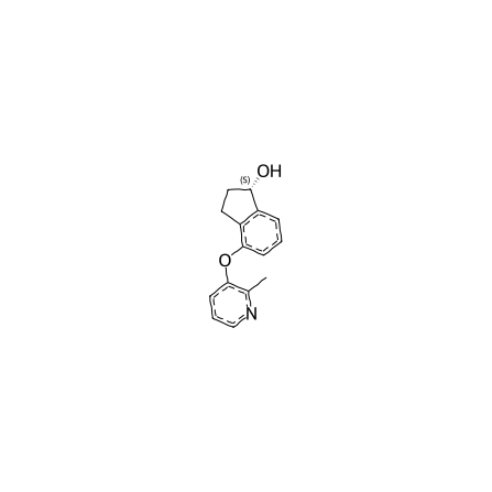 Cc1ncccc1Oc1cccc2c1CC[C@@H]2O